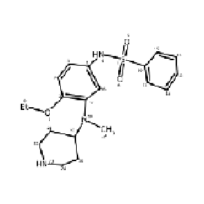 CCOc1ccc(NS(=O)(=O)c2ccccc2)cc1N(C)C1CCNCC1